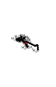 CCCCC/C=C\C/C=C\CCCCCCCCOC(=O)[C@H](C)NP(=O)(OCOC(=O)OC(C)C)OC[C@H]1O[C@@](C#N)(c2ccc3c(N)ncnn23)[C@H](OC(=O)C(C)C)[C@@H]1OC(=O)C(C)C